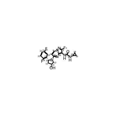 O=C(Nc1c(F)nn2ccc(N3C[C@@H](O)C[C@@H]3c3cc(F)ccc3F)nc12)NC1CC1